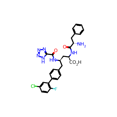 N[C@@H](Cc1ccccc1)C(=O)N[C@H](C[C@@H](Cc1ccc(-c2cc(Cl)ccc2F)cc1)NC(=O)c1nnn[nH]1)C(=O)O